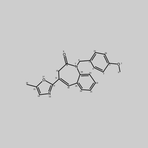 COc1ccc(CN2C(=O)CC(c3ncc(C)o3)=Cc3ccccc32)cc1